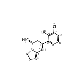 C=CCC(NC1=NCCS1)c1cccc(Cl)c1Cl